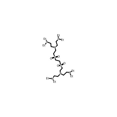 CCN(CC)CCN(CCN(CC)CC)CCS(=O)(=O)CCS(=O)(=O)CCN(CCN(CC)CC)CCN(CC)CC